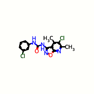 Cc1nc2onc(NC(=O)Nc3cccc(Cl)c3)c2c(C)c1Cl